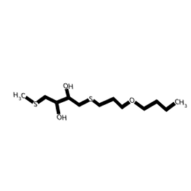 CCCCOCCCSCC(O)C(O)CSC